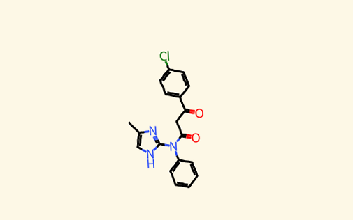 Cc1c[nH]c(N(C(=O)CC(=O)c2ccc(Cl)cc2)c2ccccc2)n1